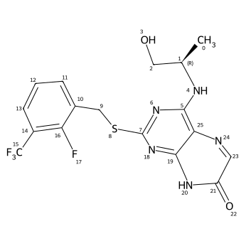 C[C@H](CO)Nc1nc(SCc2cccc(C(F)(F)F)c2F)nc2[nH]c(=O)cnc12